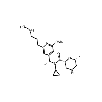 COc1cc([C@@H](C)N(C(=O)[C@H]2CNC[C@@H](C)O2)C2CC2)cc(CCCNO)n1